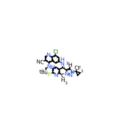 [2H]c1c([C@@H](Nc2cc(Cl)c3ncc(C#N)c(NCC(C)(C)C)c3c2)c2ccc(F)nc2C)nnn1C1(C(F)(F)F)CC1